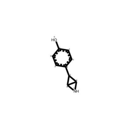 Oc1ccc(C2C3NC32)cc1